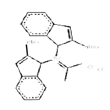 CCCCCCC1=Cc2ccccc2[CH]1[Zr+2](=[C](C)C)[CH]1C(CCCCCC)=Cc2ccccc21.[Cl-].[Cl-]